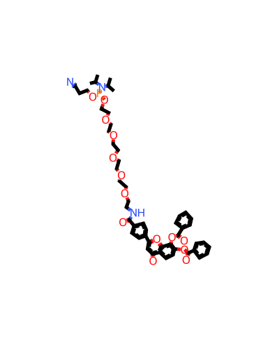 CC(C)N(C(C)C)P(OCCC#N)OCCOCCOCCOCCOCCOCCNC(=O)c1ccc(-c2cc(=O)c3ccc(OC(=O)c4ccccc4)c(OC(=O)c4ccccc4)c3o2)cc1